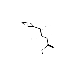 C=C(CO)[C@@H](O)[C@H](O)[C@@H](O)C1N2CN12